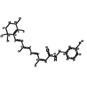 CC1=C(/C=C/C(C)=C/C=C/C(C)=C\C(=O)NCc2cccc(F)c2)C(C)(C)CCC1C